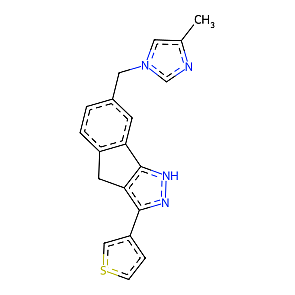 Cc1cn(Cc2ccc3c(c2)-c2[nH]nc(-c4ccsc4)c2C3)cn1